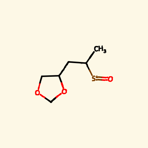 CC(CC1COCO1)[S+]=O